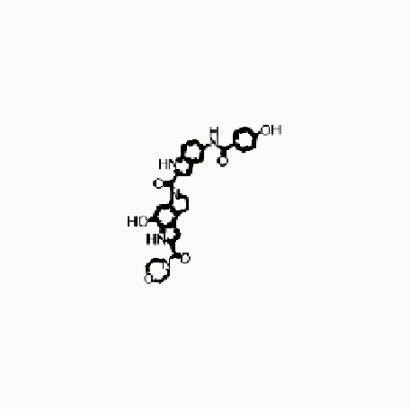 O=C(Nc1ccc2[nH]c(C(=O)N3CCc4c3cc(O)c3[nH]c(C(=O)N5CCOCC5)cc43)cc2c1)c1ccc(O)cc1